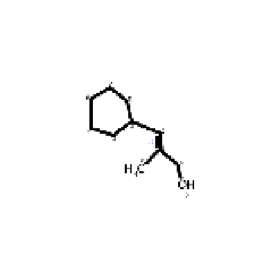 C/C(=C\C1CCCCC1)CO